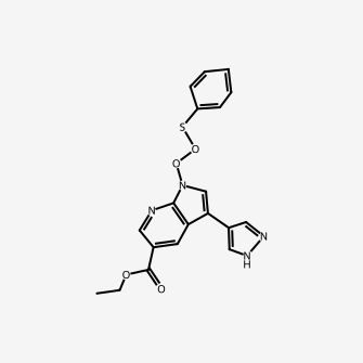 CCOC(=O)c1cnc2c(c1)c(-c1cn[nH]c1)cn2OOSc1ccccc1